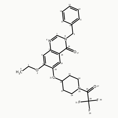 CCOc1cc2ncn(Cc3ccccc3)c(=O)c2cc1OC1CCN(C(=O)C(F)(F)F)CC1